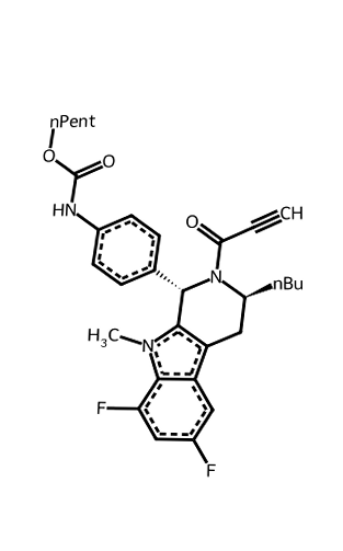 C#CC(=O)N1[C@@H](CCCC)Cc2c(n(C)c3c(F)cc(F)cc23)[C@@H]1c1ccc(NC(=O)OCCCCC)cc1